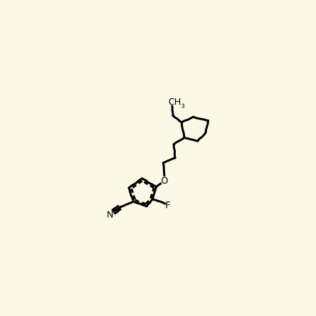 CCC1CCCCC1CCCOc1ccc(C#N)cc1F